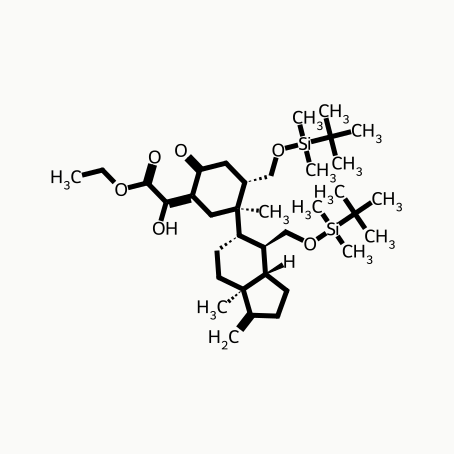 C=C1CC[C@H]2[C@H](CO[Si](C)(C)C(C)(C)C)[C@@H]([C@@]3(C)C/C(=C(\O)C(=O)OCC)C(=O)C[C@@H]3CO[Si](C)(C)C(C)(C)C)CC[C@]12C